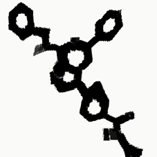 O=C(NC1CC1)c1ccc(-c2cnc3c(NCc4ccccc4)nc(-c4ccncc4)cn23)cc1